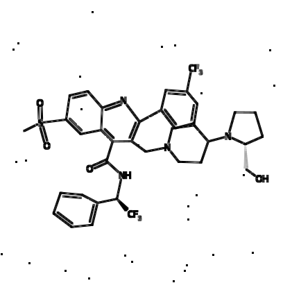 CS(=O)(=O)c1ccc2nc(-c3cccc(C(F)(F)F)c3)c(CN3CCC(N4CCC[C@@H]4CO)CC3)c(C(=O)N[C@H](c3ccccc3)C(F)(F)F)c2c1